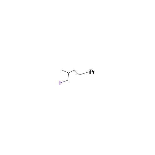 CC(C)CCC(C)CI